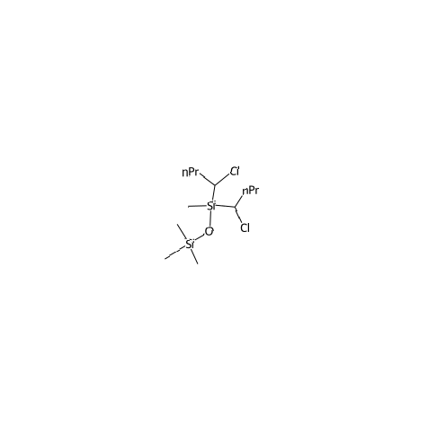 CCCC(Cl)[Si](C)(O[Si](C)(C)C)C(Cl)CCC